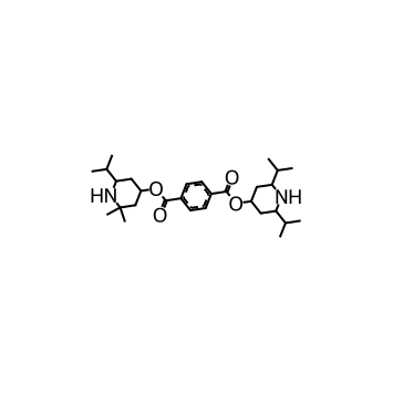 CC(C)C1CC(OC(=O)c2ccc(C(=O)OC3CC(C(C)C)NC(C)(C)C3)cc2)CC(C(C)C)N1